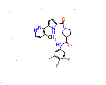 Cc1ccnnc1-c1ccc(C(=O)N2CCC(C(=O)Nc3cc(F)c(F)c(F)c3)C2)[nH]1